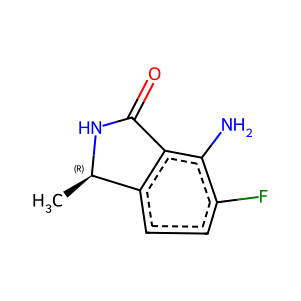 C[C@H]1NC(=O)c2c1ccc(F)c2N